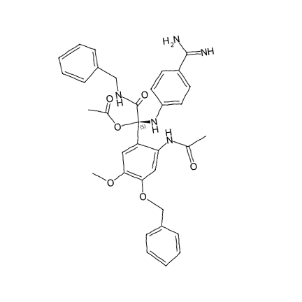 COc1cc([C@](Nc2ccc(C(=N)N)cc2)(OC(C)=O)C(=O)NCc2ccccc2)c(NC(C)=O)cc1OCc1ccccc1